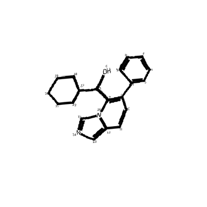 OC(c1c(-c2ccccc2)ccc2cncn12)C1CCCCC1